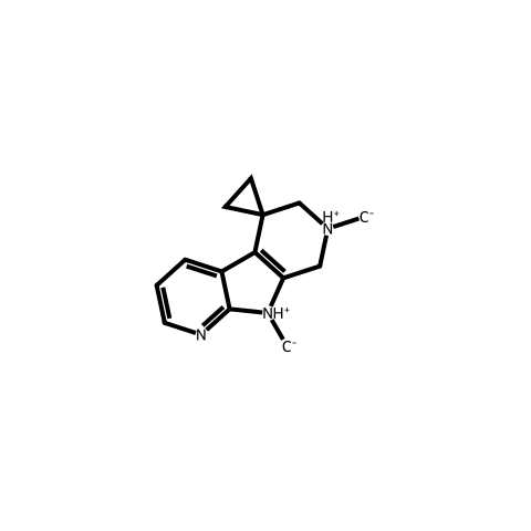 [CH2-][NH+]1CC2=C(c3cccnc3[NH+]2[CH2-])C2(CC2)C1